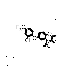 CC(=NN(C)C)C(C)Oc1ccc(Oc2ccc(C(F)(F)F)cc2Cl)cc1